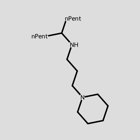 CCCCCC(CCCCC)NCCCN1CCCCC1